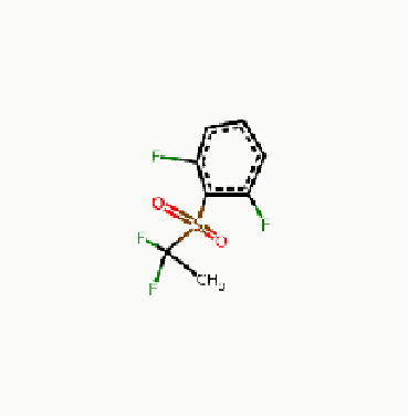 CC(F)(F)S(=O)(=O)c1c(F)cccc1F